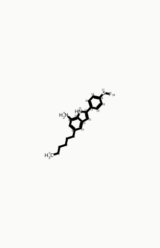 CCCCCCc1cc(N)c2[nH]c(-c3ccc(SF)cc3)cc2c1